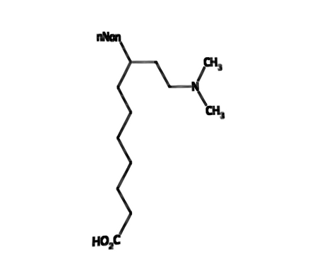 CCCCCCCCCC(CCCCCCC(=O)O)CCN(C)C